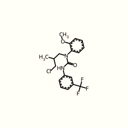 COc1ccccc1N(CC(C)CCl)C(=O)Nc1cccc(C(F)(F)F)c1